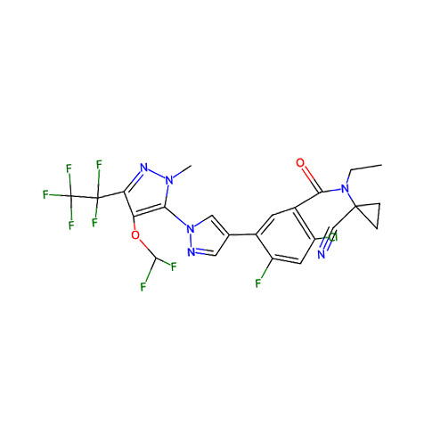 CCN(C(=O)c1cc(-c2cnn(-c3c(OC(F)F)c(C(F)(F)C(F)(F)F)nn3C)c2)c(F)cc1Cl)C1(C#N)CC1